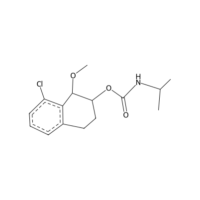 COC1c2c(Cl)cccc2CCC1OC(=O)NC(C)C